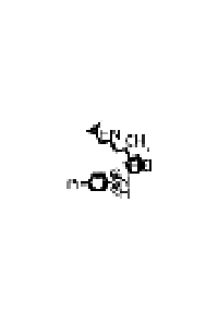 CC(C)c1ccc(S(=O)(=O)Nc2cccc(C(C)CC(=N)CC3CC3)c2)cc1.Cl